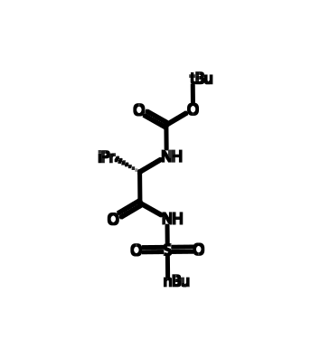 CCCCS(=O)(=O)NC(=O)[C@@H](NC(=O)OC(C)(C)C)C(C)C